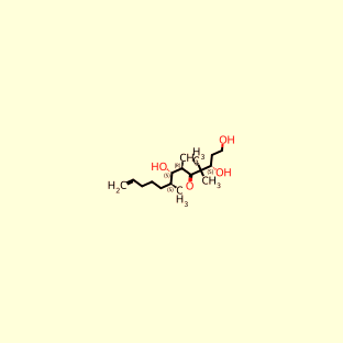 C=CCCC[C@H](C)[C@H](O)[C@@H](C)C(=O)C(C)(C)[C@@H](O)CCO